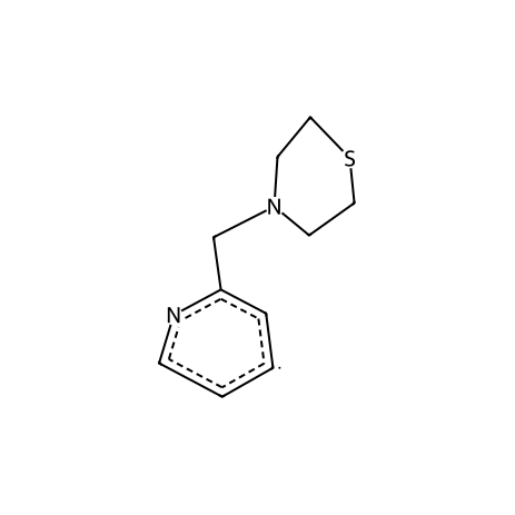 [c]1ccnc(CN2CCSCC2)c1